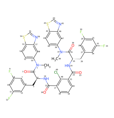 CN(C(=O)[C@H](Cc1cc(F)cc(F)c1)NC(=O)c1cccc(C(=O)N[C@@H](Cc2cc(F)cc(F)c2)C(=O)N(C)c2ccc3scnc3c2)c1Cl)c1ccc2scnc2c1